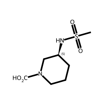 CS(=O)(=O)N[C@H]1CCCN(C(=O)O)C1